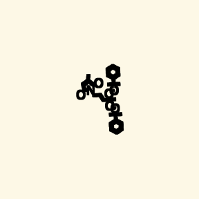 CC1=CC(=O)N(CCCC(C)(OOC(C)(C)c2ccccc2)OOC(C)(C)c2ccccc2)C1=O